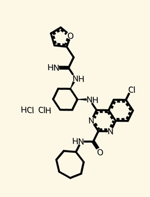 Cl.Cl.N=C(Cc1ccco1)N[C@@H]1CCCC[C@@H]1Nc1nc(C(=O)NC2CCCCCC2)nc2ccc(Cl)cc12